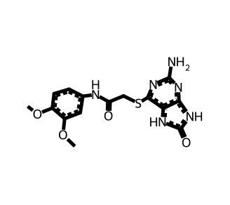 COc1ccc(NC(=O)CSc2nc(N)nc3[nH]c(=O)[nH]c23)cc1OC